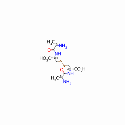 C[C@H](N)C(=O)N[C@@H](CSSC[C@H](NC(=O)[C@H](C)N)C(=O)O)C(=O)O